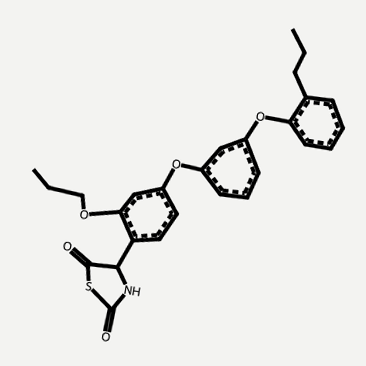 CCCOc1cc(Oc2cccc(Oc3ccccc3CCC)c2)ccc1C1NC(=O)SC1=O